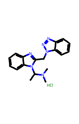 CC(N(C)C)n1c(Cn2nnc3ccccc32)nc2ccccc21.Cl